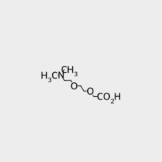 CN(C)CCOCCOCC(=O)O